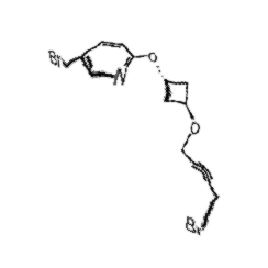 BrCC#CCO[C@H]1C[C@H](Oc2ccc(Br)cn2)C1